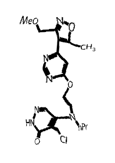 CCCN(CCOc1cc(-c2c(COC)noc2C)ncn1)c1cn[nH]c(=O)c1Cl